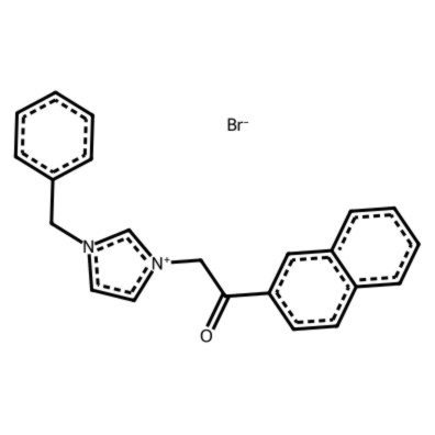 O=C(C[n+]1ccn(Cc2ccccc2)c1)c1ccc2ccccc2c1.[Br-]